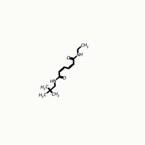 CCNC(=O)/C=C\C=C/C(=O)NCC(C)(C)C